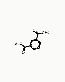 CC(=O)OC(=O)c1cccc(C(=O)OC(C)=O)c1